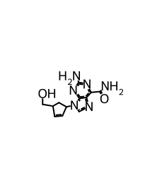 NC(=O)c1nc(N)nc2c1ncn2C1C=CC(CO)C1